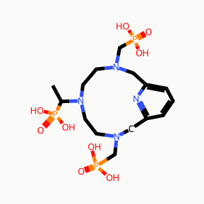 CC(N1CCN(CP(=O)(O)O)Cc2cccc(n2)CN(CP(=O)(O)O)CC1)P(=O)(O)O